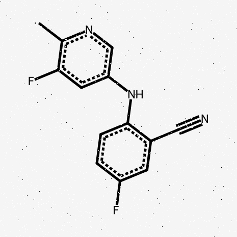 [CH2]c1ncc(Nc2ccc(F)cc2C#N)cc1F